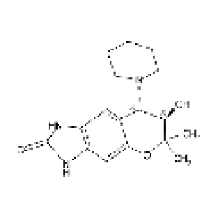 CC1(C)Oc2cc3[nH]c(=O)[nH]c3cc2[C@H](N2CCCCC2)[C@H]1O